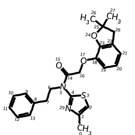 Cc1csc(N(CCc2ccccc2)C(=O)COc2cccc3c2OC(C)(C)C3)n1